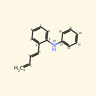 C=CC=Cc1ccccc1Nc1ccccc1